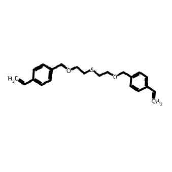 C=Cc1ccc(COCCSCCOCc2ccc(C=C)cc2)cc1